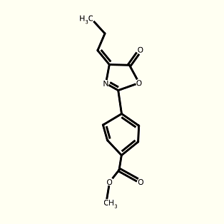 CC/C=C1/N=C(c2ccc(C(=O)OC)cc2)OC1=O